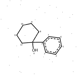 OC1(c2ccccc2)[CH]CCCC1